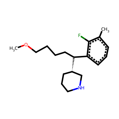 COCCCCC(c1cccc(C)c1F)[C@H]1CCCNC1